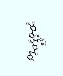 CC=NN(C(=O)c1ccc(C(=O)Nc2cccnc2)s1)c1csc(-c2ccc(Cl)c(Cl)c2)c1O.[KH]